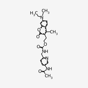 CCN(CC)c1ccc2c(C)c(CCOC(=O)NCc3ccc(NC(C)=O)cn3)c(=O)oc2c1